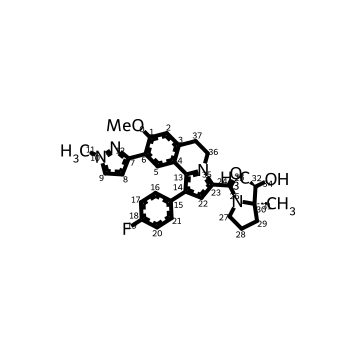 COc1cc2c(cc1-c1ccn(C)n1)-c1c(-c3ccc(F)cc3)cc(C(=O)N3CCC[C@]3(C)[C@@H](C)O)n1CC2